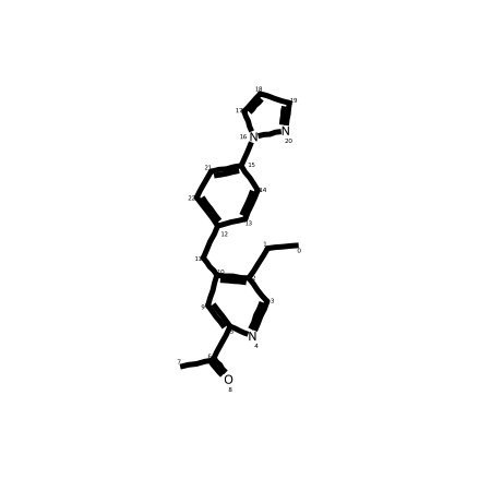 CCc1cnc(C(C)=O)cc1Cc1ccc(-n2cccn2)cc1